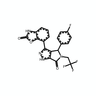 O=C1c2[nH]nc(-c3cccc4[nH]c(=O)oc34)c2C(c2ccc(F)cc2)N1CC(F)(F)F